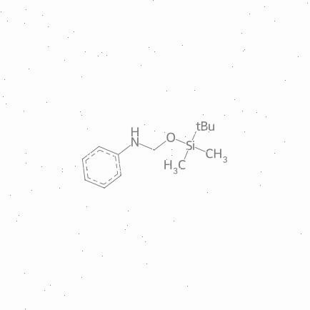 CC(C)(C)[Si](C)(C)OCNc1ccccc1